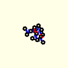 c1ccc(-n2c3ccccc3c3cc4c(cc32)c2ccccc2n4-c2cc(-n3c4ccccc4c4ccc5c(c6ccccc6n5-c5ccccc5)c43)cc(-n3c4ccccc4c4ccc5c6ccccc6n(-c6ccccc6)c5c43)c2)cc1